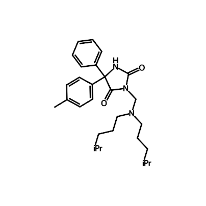 Cc1ccc(C2(c3ccccc3)NC(=O)N(CN(CCCC(C)C)CCCC(C)C)C2=O)cc1